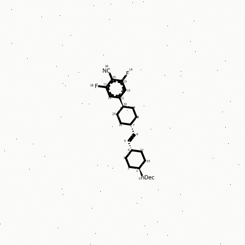 CCCCCCCCCC[C@H]1CC[C@H](/C=C/[C@H]2CC[C@H](c3cc(F)c(C#N)c(F)c3)CC2)CC1